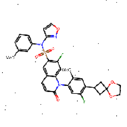 COc1cccc(N(c2ccon2)S(=O)(=O)c2cc3ccc(=O)n(-c4cc(F)c(C5CC6(C5)OCCO6)cc4OC)c3cc2F)c1